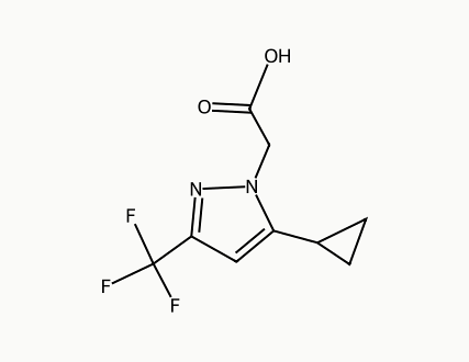 O=C(O)Cn1nc(C(F)(F)F)cc1C1CC1